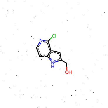 OCc1cc2c(Cl)nccc2[nH]1